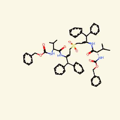 CC(C)[C@H](NC(=O)OCc1ccccc1)C(=O)NC(=CCS(=O)(=O)CC=C(NC(=O)[C@@H](NC(=O)OCc1ccccc1)C(C)C)C(c1ccccc1)c1ccccc1)C(c1ccccc1)c1ccccc1